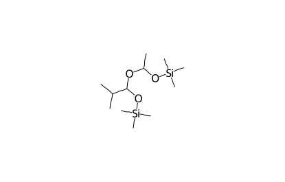 CC(OC(O[Si](C)(C)C)C(C)C)O[Si](C)(C)C